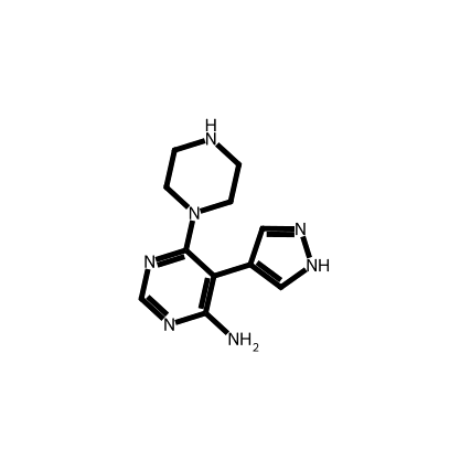 Nc1ncnc(N2CCNCC2)c1-c1cn[nH]c1